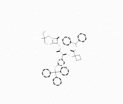 O=C(NC1C(=O)N2CC(CI)(C(=O)O)CS[C@H]12)C(=NOC1(C(=O)OC(c2ccccc2)c2ccccc2)CCC1)c1csc(NC(c2ccccc2)(c2ccccc2)c2ccccc2)n1